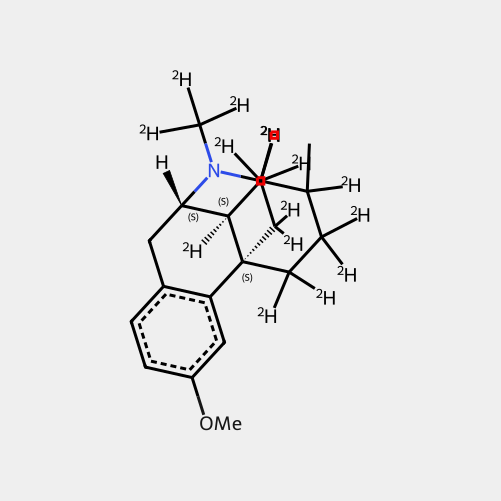 [2H]C([2H])([2H])N1[C@H]2Cc3ccc(OC)cc3[C@]3(C([2H])([2H])C1([2H])[2H])C([2H])([2H])C([2H])([2H])C([2H])(C)C([2H])([2H])[C@]23[2H]